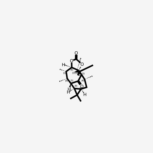 CC1=C[C@]23C(=O)[C@@H]([C@H](C)[C@H](C)[C@H]4OC(=O)O[C@]42[C@H]1C)[C@H]1[C@@H](C[C@H]3C)C1(C)C